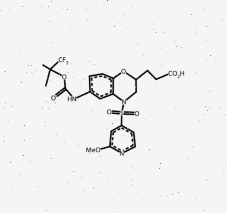 COc1cc(S(=O)(=O)N2CC(CCC(=O)O)Oc3ccc(NC(=O)OC(C)(C)C(F)(F)F)cc32)ccn1